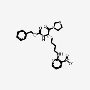 O=C(N[C@@H](CCCCNc1ncccc1[N+](=O)[O-])C(=O)N1CCSC1)OCc1ccccc1